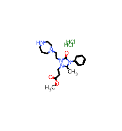 COC(=O)CCN1C(C)N(c2ccccc2)C(=O)N1CCN1CCCNCC1.Cl.Cl